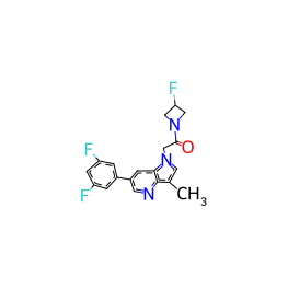 Cc1cn(CC(=O)N2CC(F)C2)c2cc(-c3cc(F)cc(F)c3)cnc12